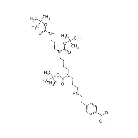 CC(C)(C)OC(=O)NCCCN(CCCCN(CCCNCCc1ccc([N+](=O)[O-])cc1)C(=O)OC(C)(C)C)C(=O)OC(C)(C)C